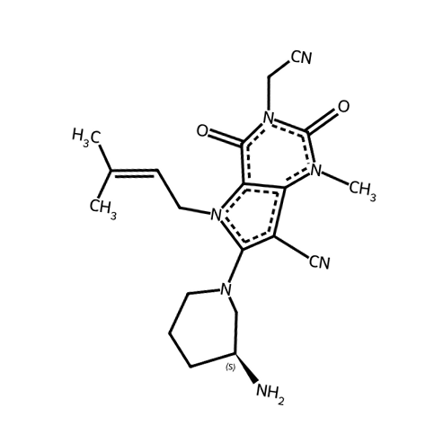 CC(C)=CCn1c(N2CCC[C@H](N)C2)c(C#N)c2c1c(=O)n(CC#N)c(=O)n2C